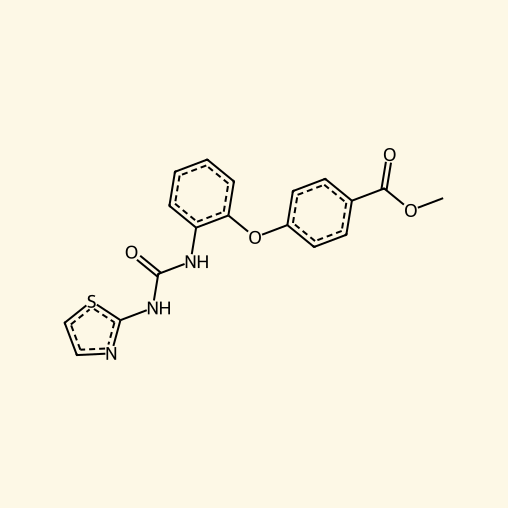 COC(=O)c1ccc(Oc2ccccc2NC(=O)Nc2nccs2)cc1